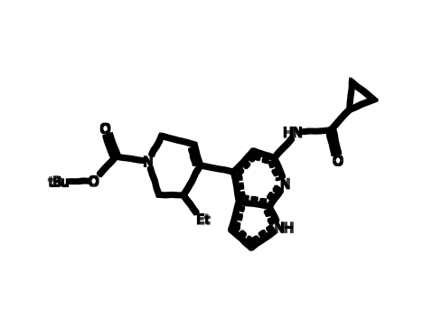 CCC1CN(C(=O)OC(C)(C)C)CC=C1c1cc(NC(=O)C2CC2)nc2[nH]ccc12